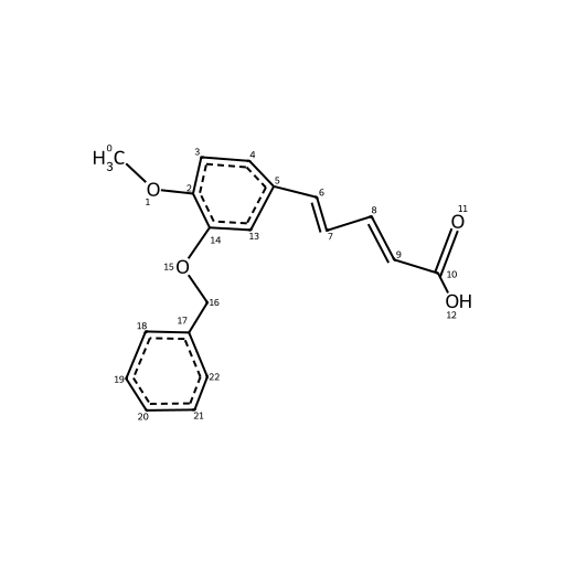 COc1ccc(C=CC=CC(=O)O)cc1OCc1ccccc1